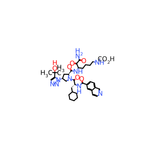 CC(C)(O)c1cnnn1[C@H]1C[C@@H](C(=O)NC(CCCCNC(=O)O)C(=O)C(N)=O)N(C(=O)[C@@H](CC2CCCCC2)NC(=O)c2ccc3cnccc3c2)C1